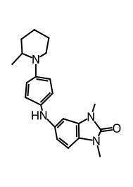 CC1CCCCN1c1ccc(Nc2ccc3c(c2)n(C)c(=O)n3C)cc1